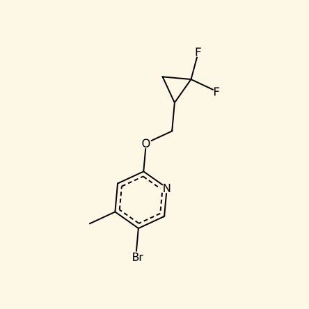 Cc1cc(OCC2CC2(F)F)ncc1Br